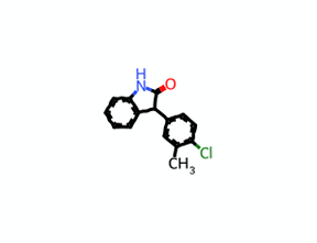 Cc1cc(C2C(=O)Nc3ccccc32)ccc1Cl